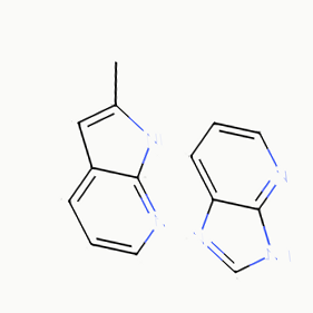 Cc1cc2cccnc2[nH]1.c1cnc2[nH]cnc2c1